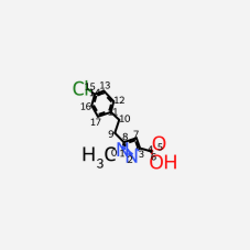 Cn1nc(C(=O)O)cc1CCc1ccc(Cl)cc1